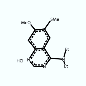 CCN(CC)c1ncnc2cc(OC)c(SC)cc12.Cl